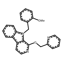 COc1ccccc1Cn1c2ccccc2c2ccnc(OCc3ccccn3)c21